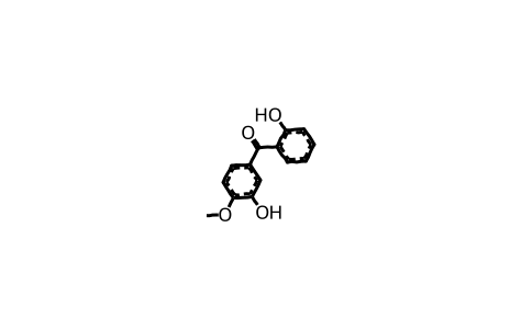 COc1ccc(C(=O)c2ccccc2O)cc1O